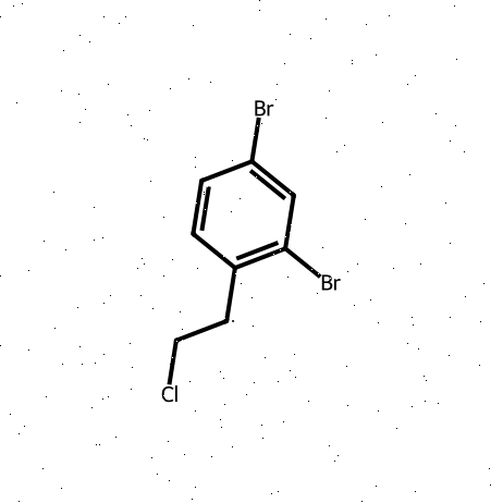 ClC[CH]c1ccc(Br)cc1Br